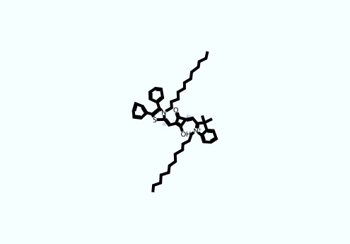 CCCCCCCCCCCCN1C(c2ccccc2)=C(c2ccccc2)S/C1=C/C1=C(O)C(=C\C2=[N+](CCCCCCCCCCCC)c3ccccc3C2(C)C)/C1=O